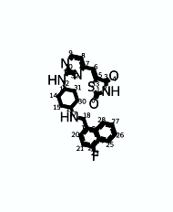 O=C1NC(=O)C(=Cc2ccnc(N[C@H]3CC[C@H](NCc4ccc(F)c5ccccc45)CC3)n2)S1